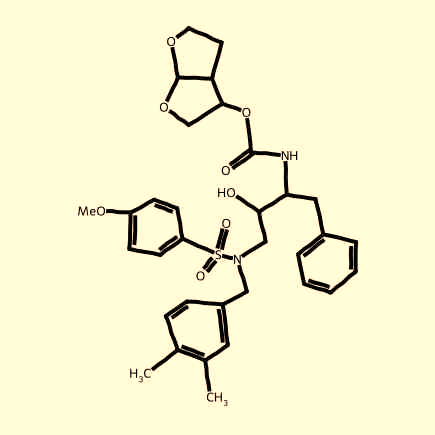 COc1ccc(S(=O)(=O)N(Cc2ccc(C)c(C)c2)CC(O)C(Cc2ccccc2)NC(=O)OC2COC3OCCC23)cc1